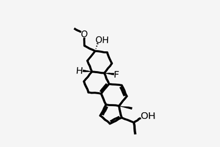 COC[C@@]1(O)CC[C@]2(F)C3=C(CC[C@@H]2C1)C1=CC=C(C(C)O)[C@@]1(C)C=C3